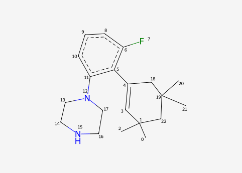 CC1(C)C=C(c2c(F)cccc2N2CCNCC2)CC(C)(C)C1